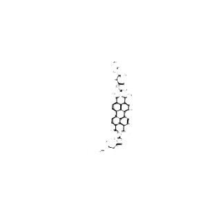 CCOC(=O)Cc1csc(N2C(=O)c3ccc4c5ccc6c7c(ccc(c8ccc(c3c48)C2=O)c75)C(=O)N(c2nc(CC(=O)OCC)cs2)C6=O)n1